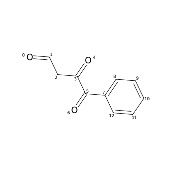 O=CCC(=O)C(=O)c1ccccc1